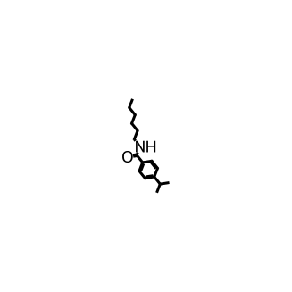 CCCCCCNC(=O)c1ccc(C(C)C)cc1